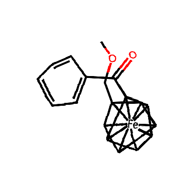 COC[C]12[CH]3[CH]4[CH]5[CH]1[Fe]45321678[CH]2[CH]1[CH]6[C]7(C(=O)c1ccccc1)[CH]28